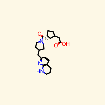 O=C(O)CC1CC[C@@H](C(=O)N2CCC(Cc3ccc4c(n3)NCCC4)CC2)C1